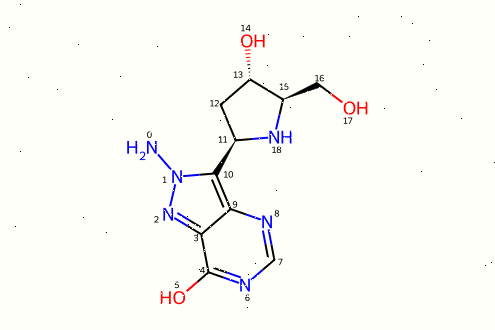 Nn1nc2c(O)ncnc2c1[C@H]1C[C@H](O)[C@@H](CO)N1